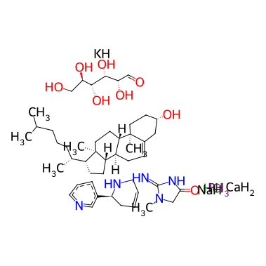 C1=CC[C@@H](c2cccnc2)NC1.CC(C)CCC[C@@H](C)[C@H]1CC[C@H]2[C@@H]3CC=C4C[C@@H](O)CC[C@]4(C)[C@H]3CC[C@]12C.CN1CC(=O)NC1=N.Cl.O=C[C@H](O)[C@@H](O)[C@H](O)[C@H](O)CO.P.[CaH2].[KH].[NaH]